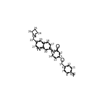 O=c1cc(OCc2ccc(F)cc2)ccn1-c1ccc2cc(CN3CCC3)cnc2c1